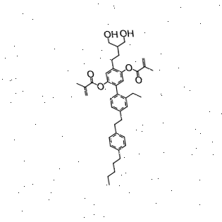 C=C(C)C(=O)Oc1cc(-c2ccc(CCc3ccc(CCCCC)cc3)cc2CC)c(OC(=O)C(=C)C)cc1CCC(CO)CO